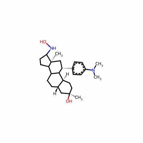 CN(C)c1ccc([C@H]2C[C@]3(C)C(NO)CCC3C3CC[C@H]4C[C@](C)(O)CC[C@@H]4C32)cc1